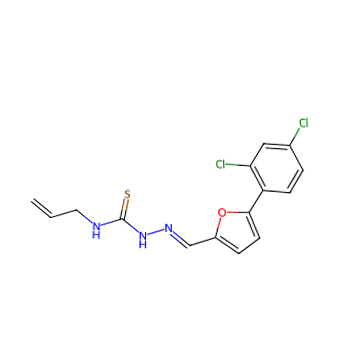 C=CCNC(=S)NN=Cc1ccc(-c2ccc(Cl)cc2Cl)o1